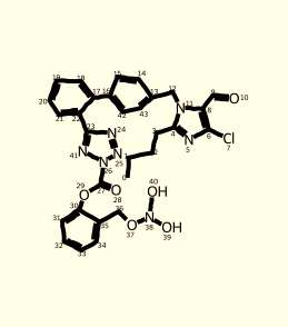 CCCCc1nc(Cl)c(C=O)n1Cc1ccc(-c2ccccc2-c2nnn(C(=O)Oc3ccccc3CON(O)O)n2)cc1